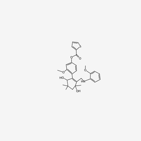 COc1ccccc1NCC1=C(c2ccc(OC(=O)c3cccs3)cc2OC)C(O)C(C)(C)CC1(C)O